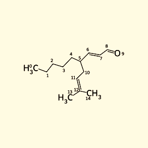 CCCCCC(/C=C/C=O)CC=C(C)C